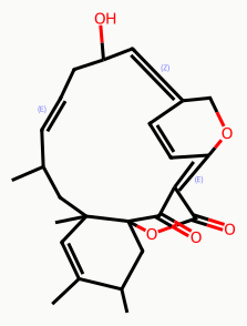 CC1=CC2(C)CC(C)/C=C/CC(O)/C=C3C=C/C(=C4\C(=O)OC2(CC1C)C4=O)OC/3